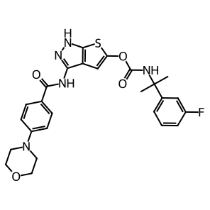 CC(C)(NC(=O)Oc1cc2c(NC(=O)c3ccc(N4CCOCC4)cc3)n[nH]c2s1)c1cccc(F)c1